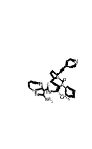 C[C@H](NC(=O)c1c(N)nn2cccnc12)c1cc2ccc(C#Cc3ccncc3)n2c(=O)n1-c1ccccc1